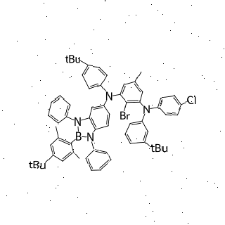 Cc1cc(N(c2ccc(Cl)cc2)c2cccc(C(C)(C)C)c2)c(Br)c(N(c2ccc(C(C)(C)C)cc2)c2ccc3c(c2)N(c2ccccc2)B(c2c(C)cc(C(C)(C)C)cc2C)N3c2ccccc2)c1